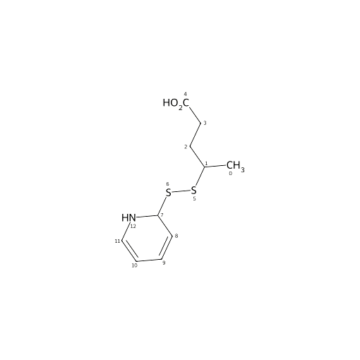 CC(CCC(=O)O)SSC1C=CC=CN1